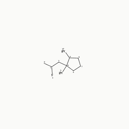 CC(F)CC1(C(C)C)CCCC1C(C)C